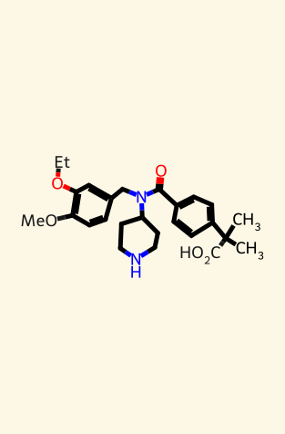 CCOc1cc(CN(C(=O)c2ccc(C(C)(C)C(=O)O)cc2)C2CCNCC2)ccc1OC